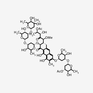 CO[C@H](C(=O)[C@@H](O)[C@@H](C)OC(C)=O)[C@@H]1Cc2cc3cc(O[C@H]4C[C@@H](O[C@H]5C[C@@H](OC(C)=O)[C@H](O)C(C)O5)[C@H](O)C(C)O4)c(C)c(O)c3c(O)c2C(=O)[C@H]1O[C@H]1C[C@@H](O[C@H]2C[C@@H](O[C@H]3C[C@](C)(O)[C@H](O)C(C)O3)[C@@H](O)C(C)O2)[C@H](O)C(C)O1